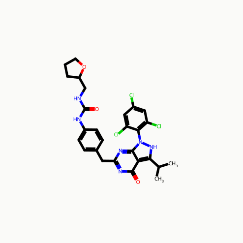 CC(C)c1[nH]n(-c2c(Cl)cc(Cl)cc2Cl)c2nc(Cc3ccc(NC(=O)NCC4CCCO4)cc3)nc(=O)c1-2